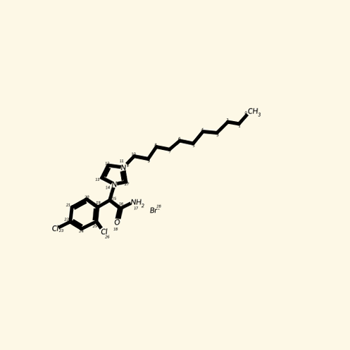 CCCCCCCCCCC[n+]1ccn(C(C(N)=O)c2ccc(Cl)cc2Cl)c1.[Br-]